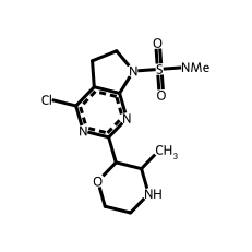 CNS(=O)(=O)N1CCc2c(Cl)nc(C3OCCNC3C)nc21